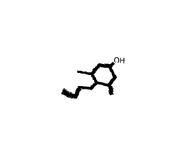 CCCCC1C(C)CC(O)CC1C